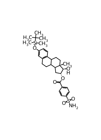 CC(C)(C)[Si](C)(C)Oc1ccc2c(c1)CCC1C2CC[C@@]2(C)C1C[C@@H](OC(=O)c1ccc(S(N)(=O)=O)cc1)[C@@H]2O